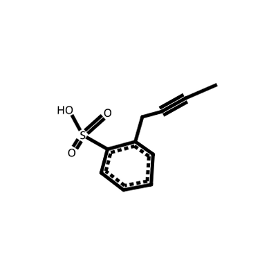 CC#CCc1ccccc1S(=O)(=O)O